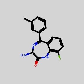 Cc1cccc(C2=NC(N)C(=O)Nc3c(F)cccc32)c1